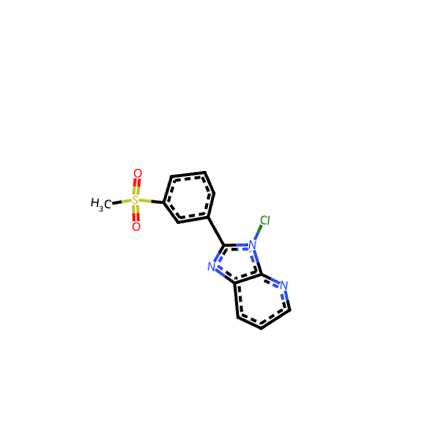 CS(=O)(=O)c1cccc(-c2nc3cccnc3n2Cl)c1